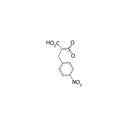 O=C(O)C(Cc1ccc([N+](=O)[O-])cc1)=S(=O)=O